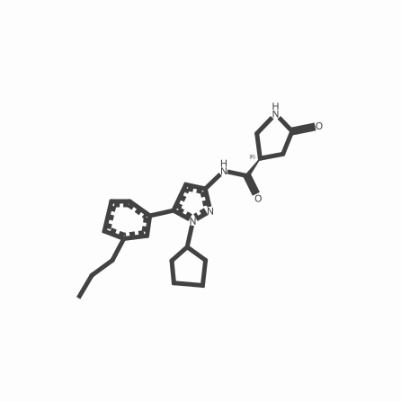 CCCc1cccc(-c2cc(NC(=O)[C@H]3CNC(=O)C3)nn2C2CCCC2)c1